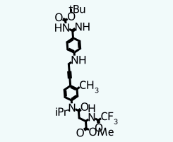 COC(=O)C(CC(=O)N(c1ccc(C#CCNc2ccc(C(=N)NC(=O)OC(C)(C)C)cc2)c(C)c1)C(C)C)NC(=O)C(F)(F)F